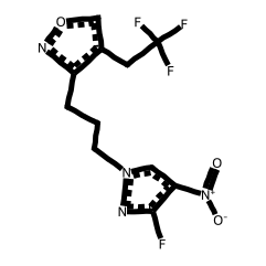 O=[N+]([O-])c1cn(CCCc2nocc2CC(F)(F)F)nc1F